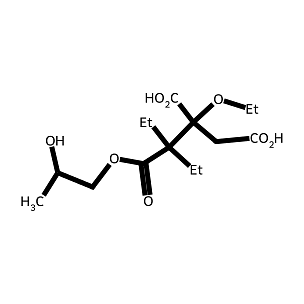 CCOC(CC(=O)O)(C(=O)O)C(CC)(CC)C(=O)OCC(C)O